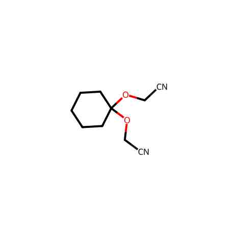 N#CCOC1(OCC#N)CCCCC1